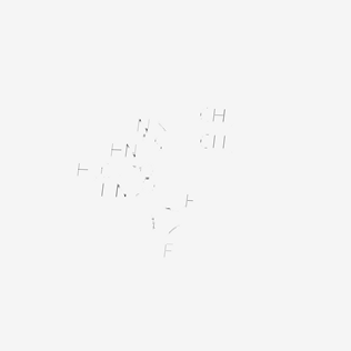 CCC(CC)c1cnc(NC(=O)C(C)NC(=O)Cc2cc(F)cc(F)c2)s1